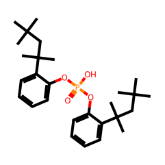 CC(C)(C)CC(C)(C)c1ccccc1OP(=O)(O)Oc1ccccc1C(C)(C)CC(C)(C)C